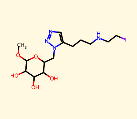 COC1OC(Cn2nncc2CCCNCCI)C(O)C(O)C1O